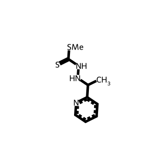 CSC(=S)NNC(C)c1ccccn1